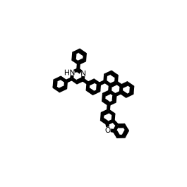 C1=CCC(C2C=C(c3cccc(C4CC=Cc5c4c4ccc(C6=CC=C7Oc8ccccc8C7C6)cc4c4ccccc54)c3)N=C(c3ccccc3)N2)C=C1